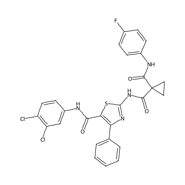 O=C(Nc1ccc(Cl)c(Cl)c1)c1sc(NC(=O)C2(C(=O)Nc3ccc(F)cc3)CC2)nc1-c1ccccc1